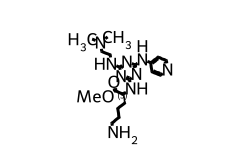 COC(=O)[C@H](CCCCN)Nc1nc(NCCN(C)C)nc(Nc2ccncc2)n1